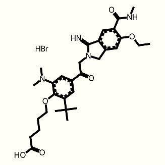 Br.CCOc1cc2c(cc1C(=O)NC)C(=N)N(CC(=O)c1cc(N(C)C)c(OCCCCC(=O)O)c(C(C)(C)C)c1)C2